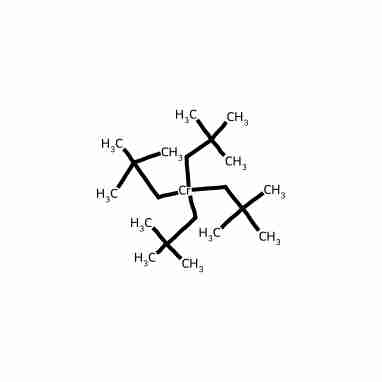 CC(C)(C)[CH2][Cr]([CH2]C(C)(C)C)([CH2]C(C)(C)C)[CH2]C(C)(C)C